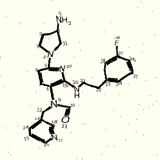 NC1CCN(c2ccc(N(C=O)Cc3cccnc3)c(NCCc3cccc(F)c3)n2)C1